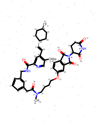 COc1cnc(C(=O)NCc2cccc(CC(=O)N(C)CCCCOc3ccc4c(c3)C(=O)N(C3CCC(=O)NC3=O)C4=O)c2)cc1/C=C/[C@H]1CC[C@H](C(F)(F)F)CC1